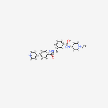 CC(C)N1CCC(NC(=O)c2cccc(CNC(=O)c3ccc(-c4ccncc4)cc3)c2)CC1